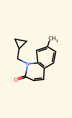 Cc1ccc2ccc(=O)n(CC3CC3)c2c1